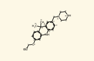 CC(C)(C)COc1ccc2c(c1)Nc1ccc(CN3CCNCC3)cc1C2(C)C